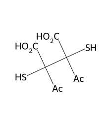 CC(=O)C(S)(C(=O)O)C(S)(C(C)=O)C(=O)O